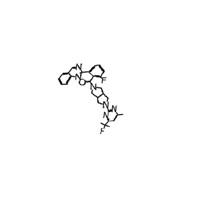 Cc1cc(C(C)(C)F)nc(N2CC3CN(C(=O)c4c(F)cccc4-c4ncc5ccccc5n4)CC3C2)n1